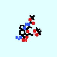 CC(NC(=O)OC(C)(C)C)C(=O)N1CCCC12CCC(N)(C(=O)O)C(CCCB1OC(C)(C)C(C)(C)O1)C2